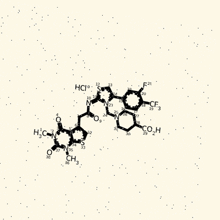 Cl.Cn1c(=O)c2c(CC(=O)N=c3scc(-c4ccc(C(F)(F)F)c(F)c4)n3CN3CCC(C(=O)O)CC3)csc2n(C)c1=O